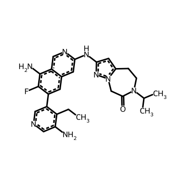 CCc1c(N)cncc1-c1cc2cc(Nc3cc4n(n3)CC(=O)N(C(C)C)CC4)ncc2c(N)c1F